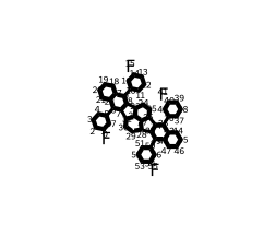 Fc1cccc(-c2c3c(c(-c4cccc(F)c4)c4ccccc24)-c2ccc4c5c(ccc-3c25)-c2c-4c(-c3cccc(F)c3)c3ccccc3c2-c2cccc(F)c2)c1